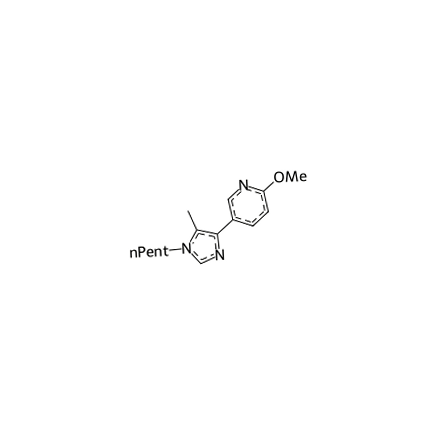 CCCCCn1cnc(-c2ccc(OC)nc2)c1C